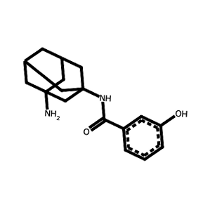 NC12CC3CC(C1)CC(NC(=O)c1cccc(O)c1)(C3)C2